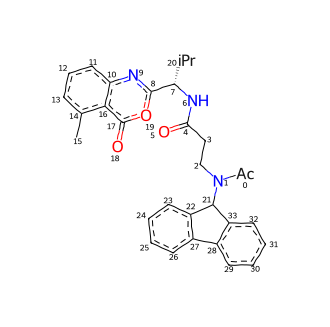 CC(=O)N(CCC(=O)N[C@H](c1nc2cccc(C)c2c(=O)o1)C(C)C)C1c2ccccc2-c2ccccc21